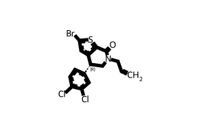 C=CCN1C[C@H](c2ccc(Cl)c(Cl)c2)c2cc(Br)sc2C1=O